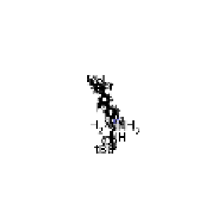 CC(C)(C)OC(=O)NCCN(N)/C(=N\N)c1ccc(-c2ccc(N3CC(CO)OC3=O)cc2F)cn1